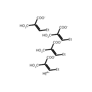 CC/C=C(\C(=O)[O-])C(=O)O.CC/C=C(\C(=O)[O-])C(=O)O.CC/C=C(\C(=O)[O-])C(=O)O.CC/C=C(\C(=O)[O-])C(=O)O.[Hf+4]